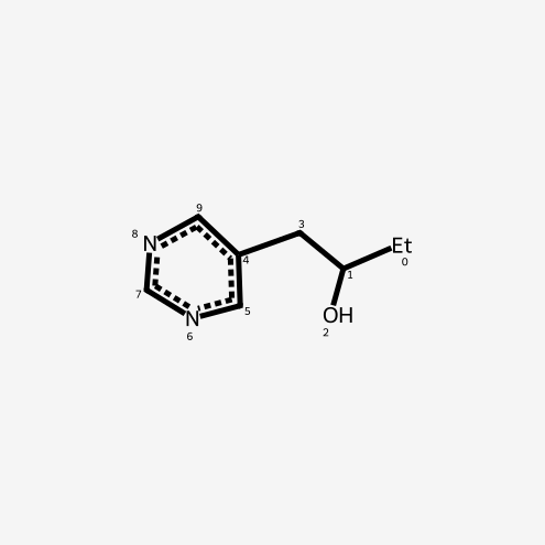 CCC(O)Cc1cncnc1